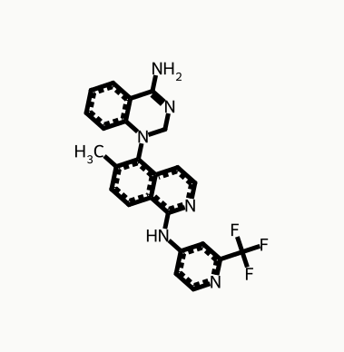 Cc1ccc2c(Nc3ccnc(C(F)(F)F)c3)nccc2c1N1CN=C(N)c2ccccc21